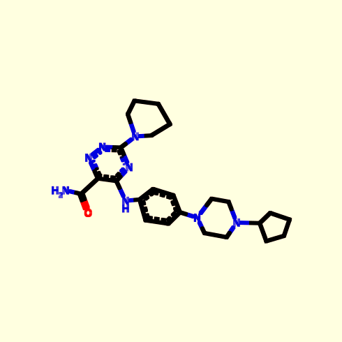 NC(=O)c1nnc(N2CCCCC2)nc1Nc1ccc(N2CCN(C3CCCC3)CC2)cc1